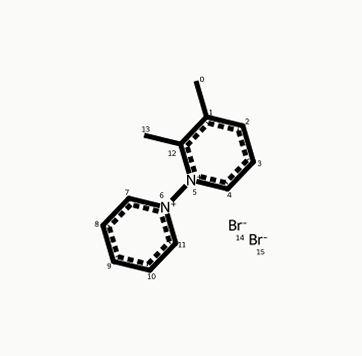 Cc1ccc[n+](-[n+]2ccccc2)c1C.[Br-].[Br-]